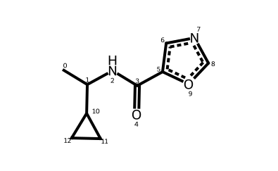 CC(NC(=O)c1cnco1)C1CC1